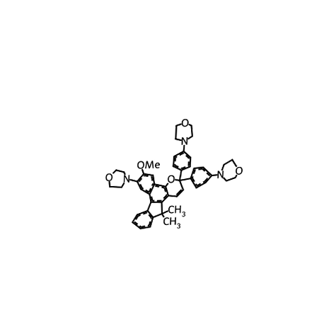 COc1cc2c3c(c4c(c2cc1N1CCOCC1)-c1ccccc1C4(C)C)C=CC(c1ccc(N2CCOCC2)cc1)(c1ccc(N2CCOCC2)cc1)O3